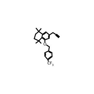 C#CCc1cc(OCc2ccc(C(F)(F)F)cc2)c2c(c1)C(C)(C)CCC2(C)C